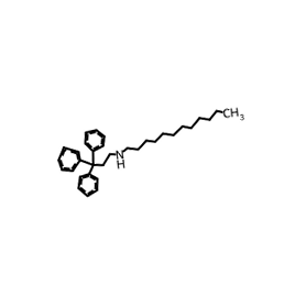 CCCCCCCCCCCCNCCC(c1ccccc1)(c1ccccc1)c1ccccc1